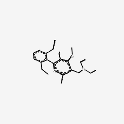 CCc1cccc(CC)c1-c1nc(C)c(CN(CC)CC)c(OC)c1C